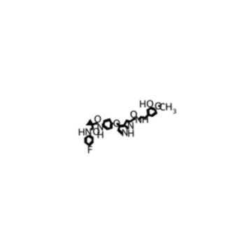 COc1ccc(CCNC(=O)c2cc3c(Oc4ccc(NC(=O)C5(C(=O)Nc6ccc(F)cc6)CC5)cc4)ccnc3[nH]2)cc1O